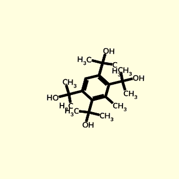 Cc1c(C(C)(C)O)c(C(C)(C)O)cc(C(C)(C)O)c1C(C)(C)O